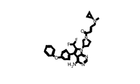 CN(CC=CC(=O)N1CCC(n2c(C(F)F)c(-c3ccc(Oc4ccccc4)cc3)c3c(N)ncnc32)C1)C1CC1